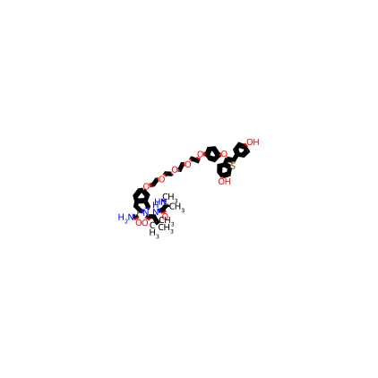 CN[C@@H](C)C(=O)N[C@H](C(=O)N1Cc2cc(OCCOCCOCCOCCOc3ccc(Oc4c(-c5ccc(O)cc5)sc5cc(O)ccc45)cc3)ccc2C[C@H]1C(N)=O)C(C)(C)C